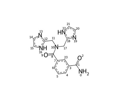 NC(=O)c1cccc(C(=O)N(Cc2ncc[nH]2)Cc2ncc[nH]2)c1